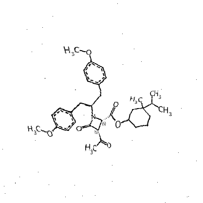 COc1ccc(CC(Cc2ccc(OC)cc2)N2C(=O)[C@H](C(C)=O)[C@H]2C(=O)OC2CCCC(C)(C(C)C)C2)cc1